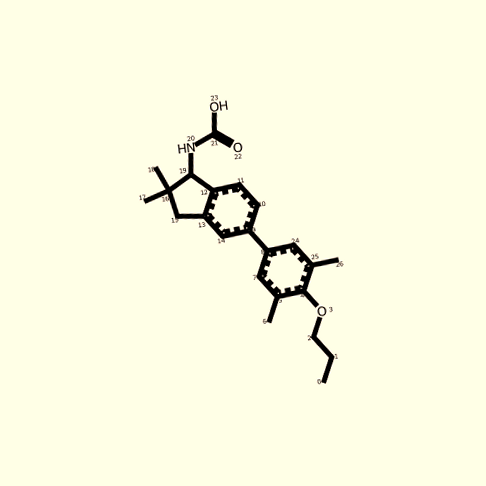 CCCOc1c(C)cc(-c2ccc3c(c2)CC(C)(C)C3NC(=O)O)cc1C